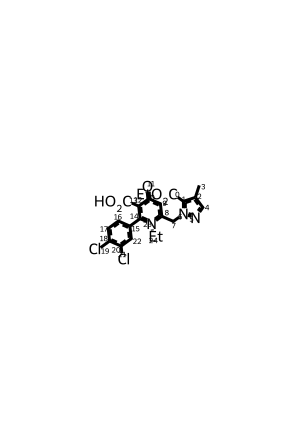 CCOC(=O)c1c(C)cnn1Cc1cc(=O)c(C(=O)O)c(-c2ccc(Cl)c(Cl)c2)n1CC